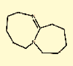 C1CCN=C2CCCCCN2CC1